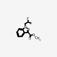 COC(=O)c1nn(CC(F)F)c2ccccc12